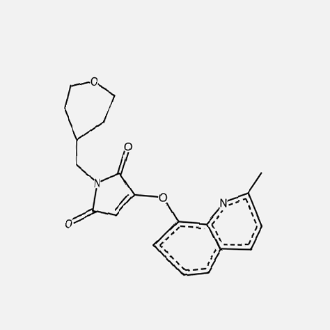 Cc1ccc2cccc(OC3=CC(=O)N(CC4CCOCC4)C3=O)c2n1